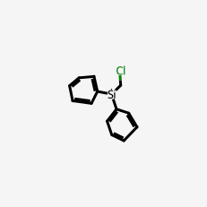 ClC[Si](c1ccccc1)c1ccccc1